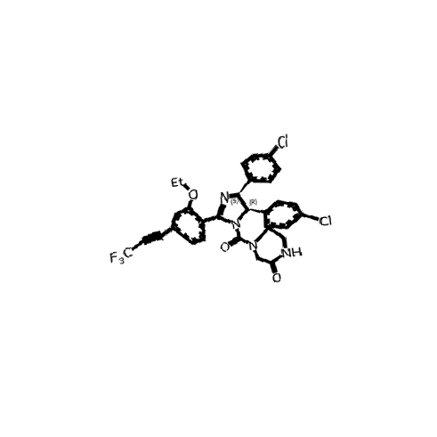 CCOc1cc(C#CC(F)(F)F)ccc1C1=N[C@@H](c2ccc(Cl)cc2)[C@@H](c2ccc(Cl)cc2)N1C(=O)N1CCNC(=O)C1